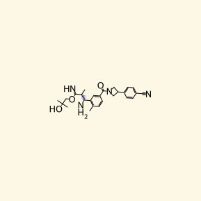 C/C(C(=N)OCC(C)(C)O)=C(/N)c1cc(C(=O)N2CC(c3ccc(C#N)cc3)C2)ccc1C